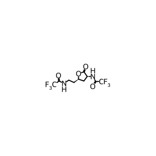 O=C1O[C@H](CCNC(=O)C(F)(F)F)C[C@@H]1NC(=O)C(F)(F)F